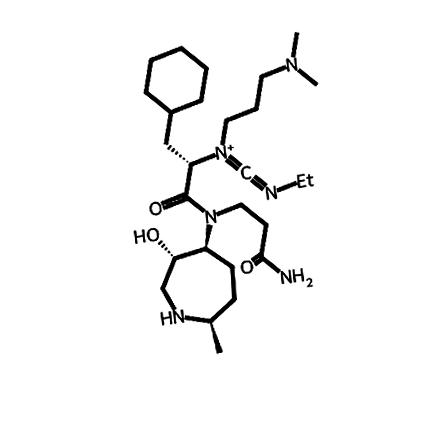 CCN=C=[N+](CCCN(C)C)[C@@H](CC1CCCCC1)C(=O)N(CCC(N)=O)[C@H]1CC[C@@H](C)NC[C@@H]1O